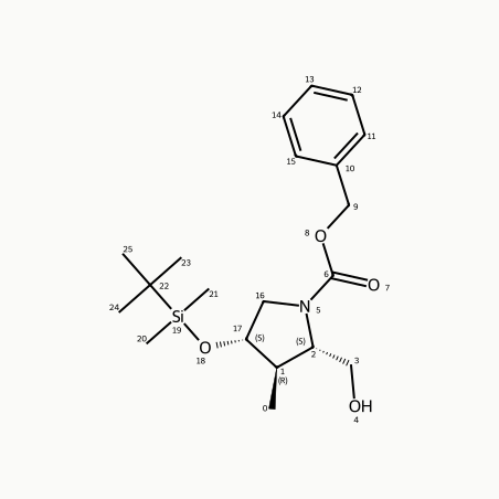 C[C@@H]1[C@@H](CO)N(C(=O)OCc2ccccc2)C[C@H]1O[Si](C)(C)C(C)(C)C